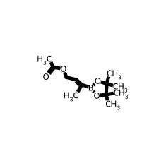 CC(=O)OC/C=C(\C)B1OC(C)(C)C(C)(C)O1